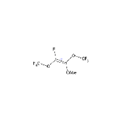 CO/C(OC(F)(F)F)=C(/F)OC(F)(F)F